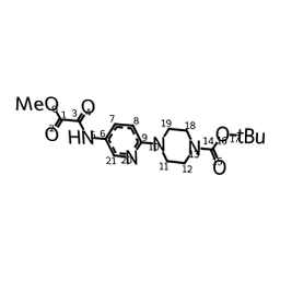 COC(=O)C(=O)Nc1ccc(N2CCN(C(=O)OC(C)(C)C)CC2)nc1